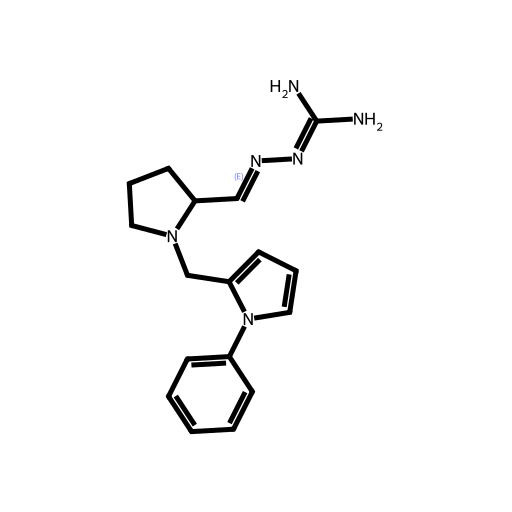 NC(N)=N/N=C/C1CCCN1Cc1cccn1-c1ccccc1